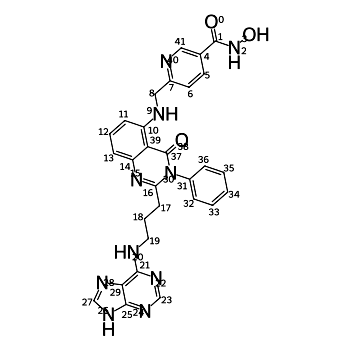 O=C(NO)c1ccc(CNc2cccc3nc(CCCNc4ncnc5[nH]cnc45)n(-c4ccccc4)c(=O)c23)nc1